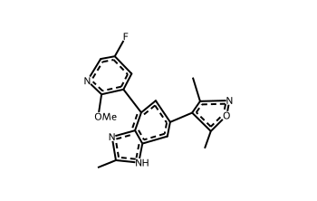 COc1ncc(F)cc1-c1cc(-c2c(C)noc2C)cc2[nH]c(C)nc12